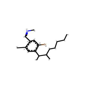 CCCCCC(C)C(C)c1cc(C)c(/C=N\C)cc1Br